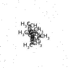 CC[Si]1(COCC(C)C)O[Si](CC)(COCC(C)C)O[Si](CC)(COCC(C)C)O1